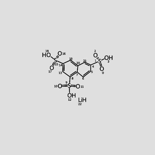 O=S(=O)(O)c1ccc2c(S(=O)(=O)O)cc(S(=O)(=O)O)cc2c1.[LiH]